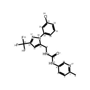 Cc1ccc(NC(=O)NCc2cc(C(F)(F)F)nn2-c2cccc(Cl)c2)cn1